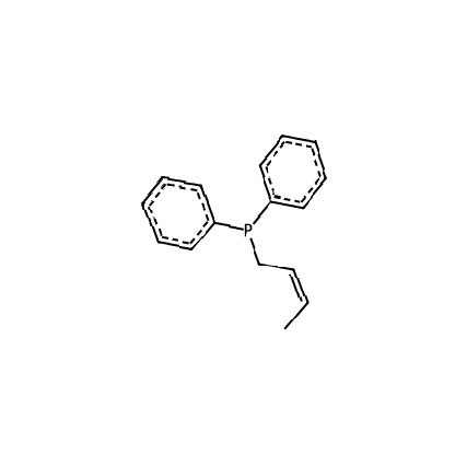 C/C=C\CP(c1ccccc1)c1ccccc1